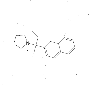 CCC(C)(C1=CC=C2C=CC=CC2C1)N1CCCC1